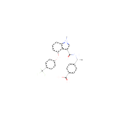 C[C@H](NC(=O)c1cn(C)c2cccc(Oc3ccc(C(F)(F)F)cc3)c12)c1ccc(C(=O)O)cc1